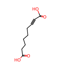 O=C(O)C#CCCCCCC(=O)O